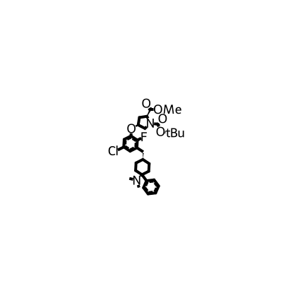 COC(=O)[C@@H]1C[C@H](Oc2cc(Cl)cc(C[C@H]3CC[C@](c4ccccc4)(N(C)C)CC3)c2F)CN1C(=O)OC(C)(C)C